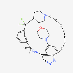 C[C@H]1Nc2cnnc3c(cc(N4CCOCC4)cc23)CCCCCCCN2CCC(CC2)C(F)(F)c2cccc1c2